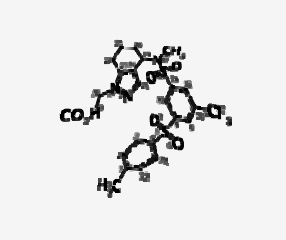 Cc1ccc(S(=O)(=O)c2cc(C(F)(F)F)cc(S(=O)(=O)N(C)C3CCCc4c3cnn4CC(=O)O)c2)cc1